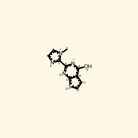 Cn1ccnc1-c1nc(O)c2ccsc2n1